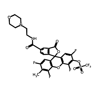 Cc1c(F)cc2c(c1F)Oc1c(cc(F)c(OS(=O)(=O)C(F)(F)F)c1F)C21OC(=O)c2cc(C(=O)NCCN3CCOCC3)ccc21